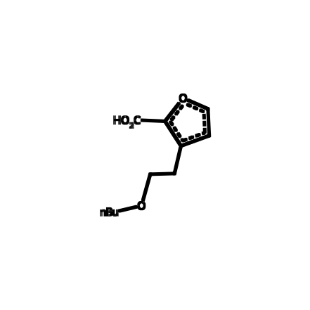 CCCCOCCc1ccoc1C(=O)O